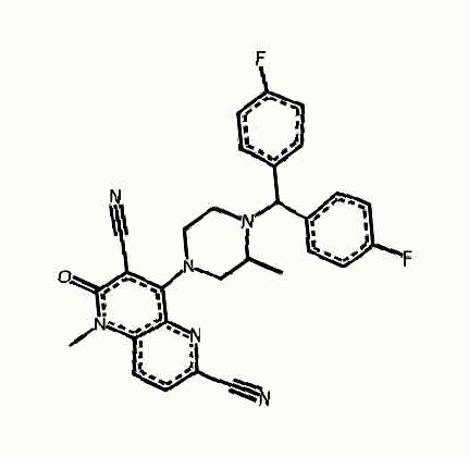 CC1CN(c2c(C#N)c(=O)n(C)c3ccc(C#N)nc23)CCN1C(c1ccc(F)cc1)c1ccc(F)cc1